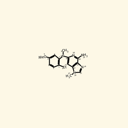 CCc1ccc(OC)cc1N(C)c1cc2c(ncn2C)c(N)n1